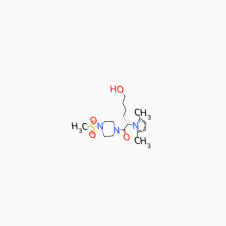 Cc1ccc(C)n1[C@@H](CCCCO)C(=O)N1CCN(S(C)(=O)=O)CC1